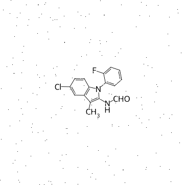 Cc1c(NC=O)n(-c2ccccc2F)c2ccc(Cl)cc12